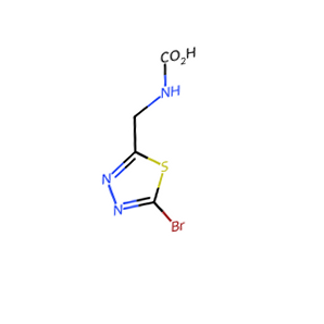 O=C(O)NCc1nnc(Br)s1